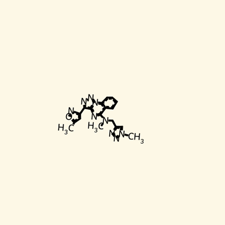 Cc1cc(-c2nnn3c2nc(N(C)Cc2cn(C)nn2)c2ccccc23)no1